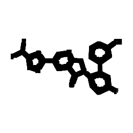 N#Cc1cccc(-c2cc(F)ccc2N2Cc3ncc(-c4nnc(C(F)F)o4)cc3C2=O)c1